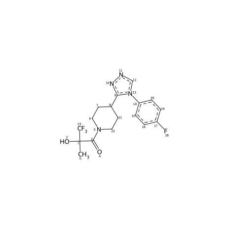 CC(O)(C(=O)N1CCC(c2nncn2-c2ccc(F)cc2)CC1)C(F)(F)F